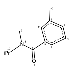 [CH2]c1cccc(C(=O)N(C)C(C)C)c1